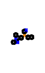 c1cncc(P(c2ccc3ccccc3c2)c2ccc3c(c2)c2ccccc2n2c4ccccc4nc32)c1